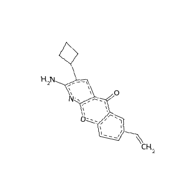 C=Cc1ccc2oc3nc(N)c(C4CCC4)cc3c(=O)c2c1